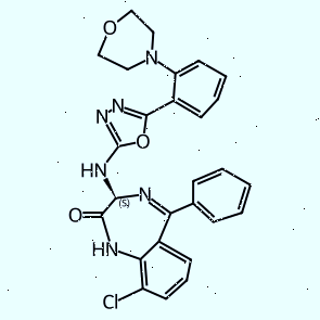 O=C1Nc2c(Cl)cccc2C(c2ccccc2)=N[C@@H]1Nc1nnc(-c2ccccc2N2CCOCC2)o1